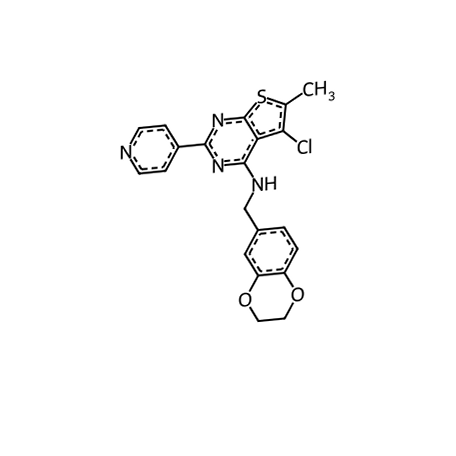 Cc1sc2nc(-c3ccncc3)nc(NCc3ccc4c(c3)OCCO4)c2c1Cl